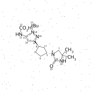 CC1(C)CN([C@@H]2CC[C@@H](c3cc(NC(=O)O)n(C(C)(C)C)n3)C2)C(=O)N1